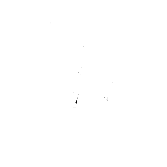 FCCN1CCN2c3ccccc3OCC[C@H]2C1